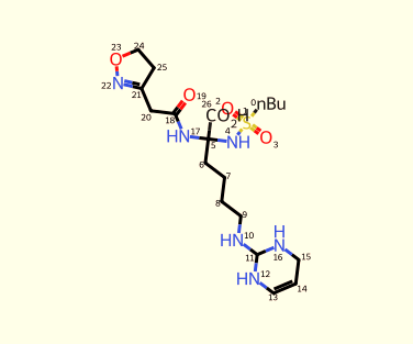 CCCCS(=O)(=O)NC(CCCCNC1NC=CCN1)(NC(=O)CC1=NOCC1)C(=O)O